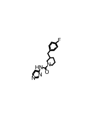 O=C(Nc1ccncn1)N1CCCC(Cc2ccc(F)cc2)C1